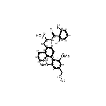 CCOCc1cc(OC)c(-c2ccc(CC(NC(=O)c3c(F)cccc3F)C(=O)O)c3cccnc23)c(OC)c1